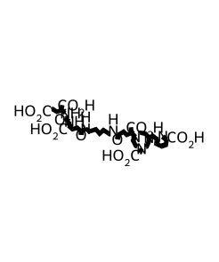 O=C(O)CCC(NC(=O)NC(CCC(=O)NCCCCCNC(=O)CCC(C(=O)O)N1CCN(CC(=O)O)CCN(Cc2cccc(C(=O)O)n2)CC1)C(=O)O)C(=O)O